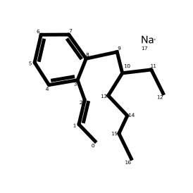 CC=Cc1ccccc1CC(CC)CCCC.[Na]